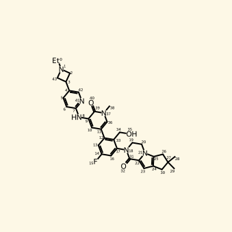 CCN1CC(c2ccc(Nc3cc(-c4cc(F)cc(N5CCn6c(cc7c6CC(C)(C)C7)C5=O)c4CO)cn(C)c3=O)nc2)C1